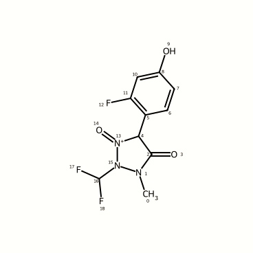 CN1C(=O)C(c2ccc(O)cc2F)[N+](=O)N1C(F)F